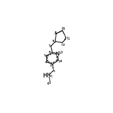 INCc1ccc(CC2CCCC2)nc1